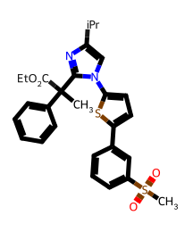 CCOC(=O)C(C)(c1ccccc1)c1nc(C(C)C)cn1-c1ccc(-c2cccc(S(C)(=O)=O)c2)s1